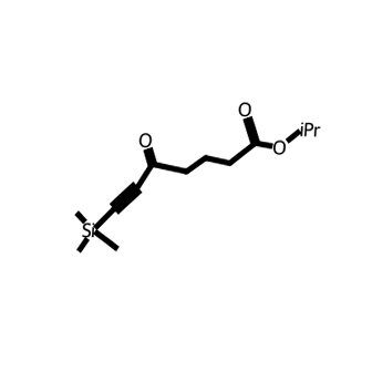 CC(C)OC(=O)CCCC(=O)C#C[Si](C)(C)C